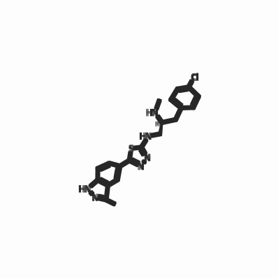 CN[C@H](CNc1nnc(-c2ccc3[nH]nc(C)c3c2)s1)Cc1ccc(Cl)cc1